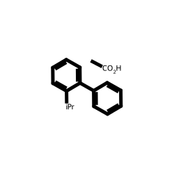 CC(=O)O.CC(C)c1ccccc1-c1ccccc1